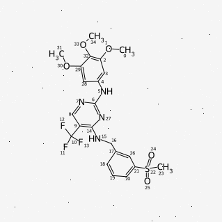 COc1cc(Nc2ncc(C(F)(F)F)c(NCc3cccc(S(C)(=O)=O)c3)n2)cc(OC)c1OC